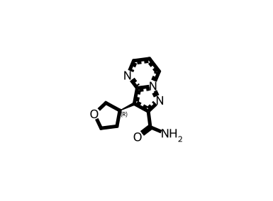 NC(=O)c1nn2cccnc2c1[C@H]1CCOC1